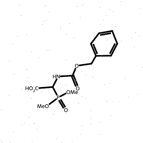 COP(=O)(OC)C(NC(=O)OCc1ccccc1)C(=O)O